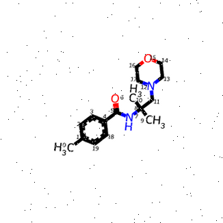 Cc1ccc(C(=O)NC(C)(C)CN2CCOCC2)cc1